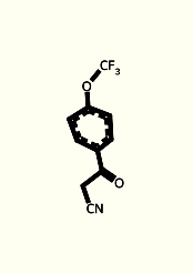 N#CCC(=O)c1ccc(OC(F)(F)F)cc1